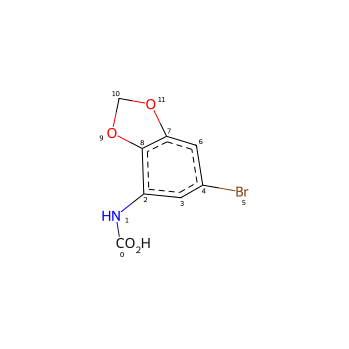 O=C(O)Nc1cc(Br)cc2c1OCO2